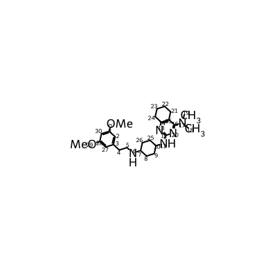 COc1cc(CCNC2CCC(Nc3nc4c(c(N(C)C)n3)CCCC4)CC2)cc(OC)c1